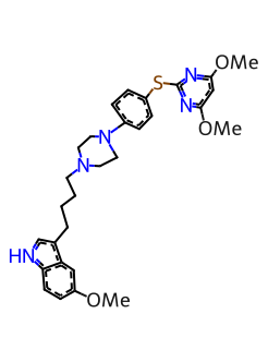 COc1ccc2[nH]cc(CCCCN3CCN(c4ccc(Sc5nc(OC)cc(OC)n5)cc4)CC3)c2c1